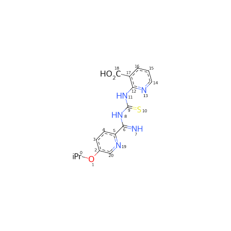 CC(C)Oc1ccc(C(=N)NC(=S)Nc2ncccc2C(=O)O)nc1